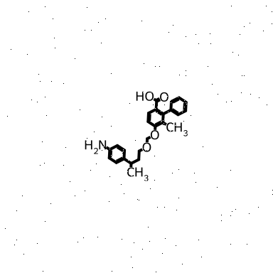 Cc1c(OCOCCC(C)c2ccc(N)cc2)ccc(C(=O)O)c1-c1ccccc1